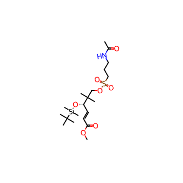 COC(=O)/C=C/[C@H](O[Si](C)(C)C(C)(C)C)C(C)(C)COS(=O)(=O)CCCNC(C)=O